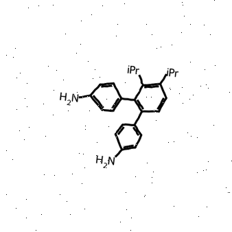 CC(C)c1ccc(-c2ccc(N)cc2)c(-c2ccc(N)cc2)c1C(C)C